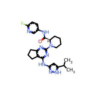 CC(C)c1cc(Nc2nc(N3CCCC[C@@H]3C(=O)Nc3ccc(F)nc3)nc3c2CCC3)n[nH]1